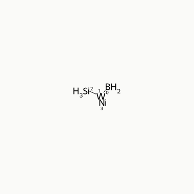 [BH2][W][SiH3].[Ni]